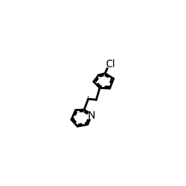 Clc1ccc(C[CH]c2ccccn2)cc1